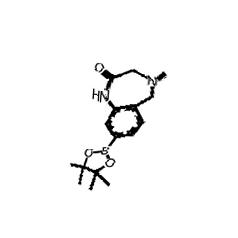 CN1CC(=O)Nc2cc(B3OC(C)(C)C(C)(C)O3)ccc2C1